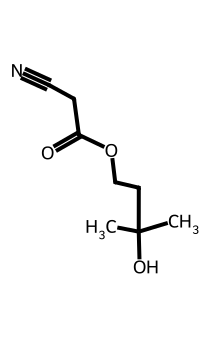 CC(C)(O)CCOC(=O)CC#N